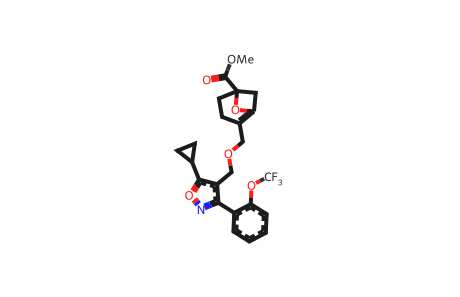 COC(=O)C12CCC(COCc3c(-c4ccccc4OC(F)(F)F)noc3C3CC3)=C(C1)O2